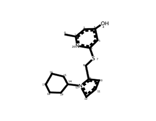 Cc1cc(O)cc(SCc2cccn2C2CCCCC2)n1